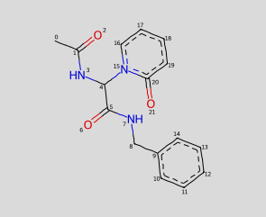 CC(=O)NC(C(=O)NCc1ccccc1)n1ccccc1=O